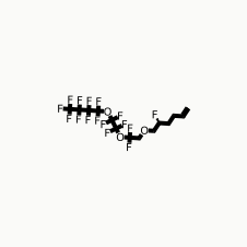 C=CCC[C@H](F)COCC(F)(F)OC(F)(F)C(F)(F)OC(F)(F)C(F)(F)C(F)(F)C(F)(F)F